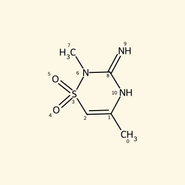 CC1=CS(=O)(=O)N(C)C(=N)N1